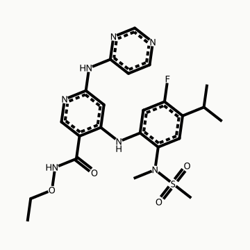 CCONC(=O)c1cnc(Nc2ccncn2)cc1Nc1cc(F)c(C(C)C)cc1N(C)S(C)(=O)=O